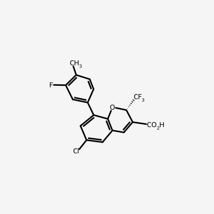 Cc1ccc(-c2cc(Cl)cc3c2O[C@H](C(F)(F)F)C(C(=O)O)=C3)cc1F